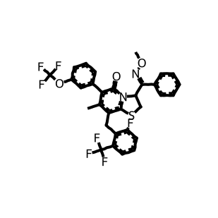 CON=C(c1ccccc1)C1CSc2c(Cc3c(F)cccc3C(F)(F)F)c(C)c(-c3cccc(OC(F)(F)F)c3)c(=O)n21